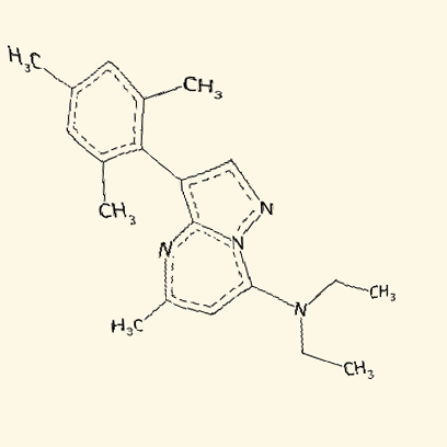 CCN(CC)c1cc(C)nc2c(-c3c(C)cc(C)cc3C)cnn12